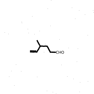 C=CC(C)CCC=O